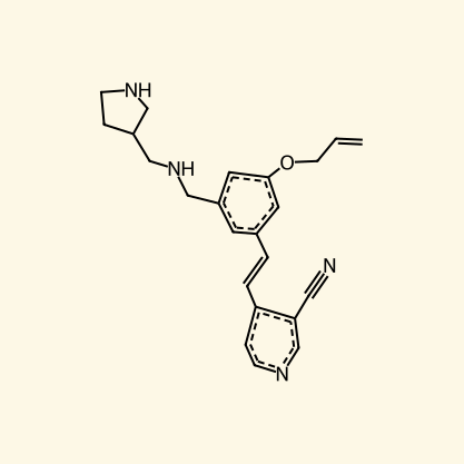 C=CCOc1cc(/C=C/c2ccncc2C#N)cc(CNCC2CCNC2)c1